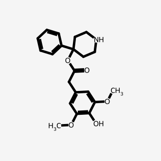 COc1cc(CC(=O)OC2(c3ccccc3)CCNCC2)cc(OC)c1O